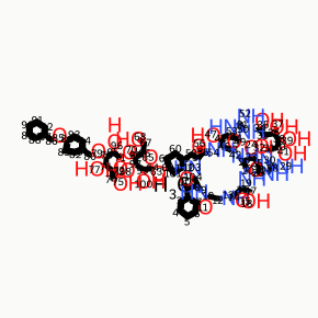 CC(c1ccccc1)C1NC(=O)CNC(=O)C(CO)NC(=O)C(C(O)C2CNC(=N)N2C2OC(CO)C(O)C(O)C2O)NC(=O)C(C(O)C2CNC(=N)N2)NC(=O)C(Cc2ccc(OC3OC(CO)C(OC4OC(CO)C(O)C(OCc5ccc(OCc6ccccc6)cc5)C4O)C(O)C3O)cc2)NC1=O